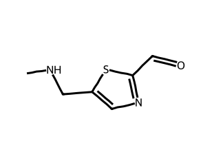 CNCc1cnc(C=O)s1